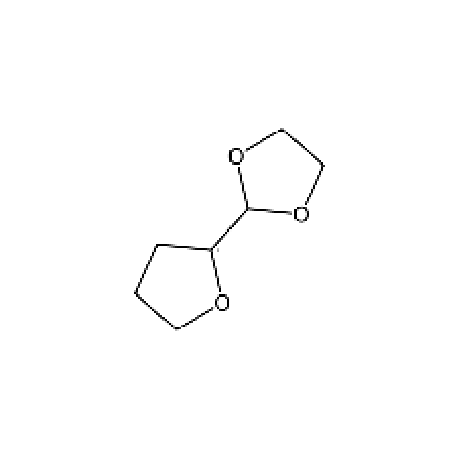 C1CO[C](C2OCCO2)C1